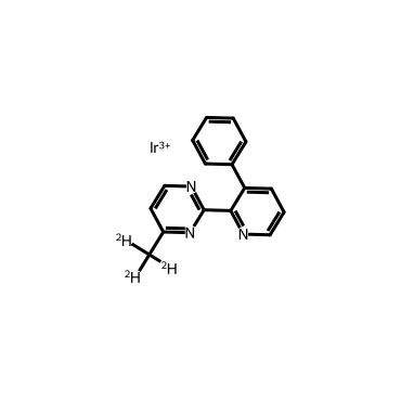 [2H]C([2H])([2H])c1ccnc(-c2ncccc2-c2ccccc2)n1.[Ir+3]